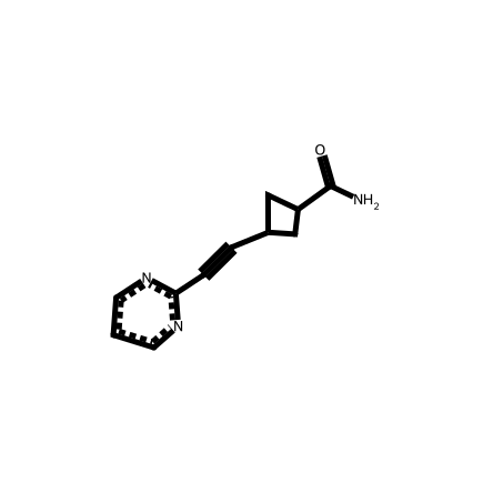 NC(=O)C1CC(C#Cc2ncccn2)C1